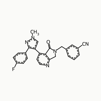 Cn1cc(-c2ccnc3c2C(=O)N(Cc2cccc(C#N)c2)C3)c(-c2ccc(F)cc2)n1